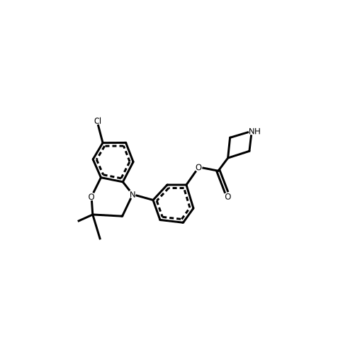 CC1(C)CN(c2cccc(OC(=O)C3CNC3)c2)c2ccc(Cl)cc2O1